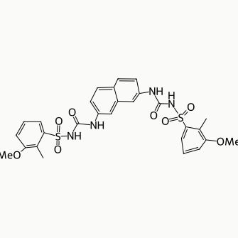 COc1cccc(S(=O)(=O)NC(=O)Nc2ccc3ccc(NC(=O)NS(=O)(=O)c4cccc(OC)c4C)cc3c2)c1C